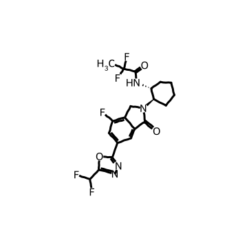 CC(F)(F)C(=O)N[C@@H]1CCCC[C@H]1N1Cc2c(F)cc(-c3nnc(C(F)F)o3)cc2C1=O